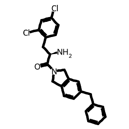 N[C@H](Cc1ccc(Cl)cc1Cl)C(=O)N1Cc2ccc(Cc3ccccc3)cc2C1